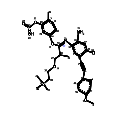 COc1ccc(C#Cc2cc(/N=C(/Oc3ccc(C)c(O[PH](=O)O)c3)C(C)COCC[Si](C)(C)C)c(N)cc2Cl)cc1